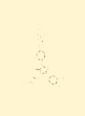 CC(C)NC(=O)Cn1c(-c2ccc(F)c(Cl)c2)nn(-c2ccc(CCN3C4CCC3CC(O)C4)cn2)c1=O